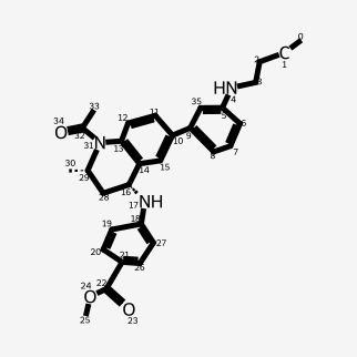 CCCCNc1cccc(-c2ccc3c(c2)[C@H](Nc2ccc(C(=O)OC)cc2)C[C@H](C)N3C(C)=O)c1